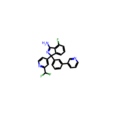 NC1=NC(c2cccc(-c3cccnc3)c2)(c2ccnc(C(F)F)c2)c2cccc(F)c21